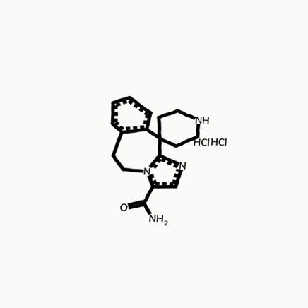 Cl.Cl.NC(=O)c1cnc2n1CCc1ccccc1C21CCNCC1